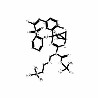 CC(C)(C)OC(=O)N(COCC[Si](C)(C)C)C1=NC(C)(c2cc(C=C(F)S(=O)(=O)c3ccccc3)ccc2F)C2CC2(C(=O)O)S1